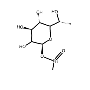 C[C@@H](O)C1O[C@@H](O[PH](C)=O)C(O)[C@@H](O)[C@@H]1O